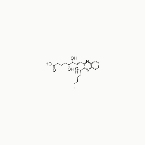 CCCCC[C@H](O)c1nc2ccccc2nc1/C=C/[C@@H](O)[C@@H](O)CCCC(=O)O